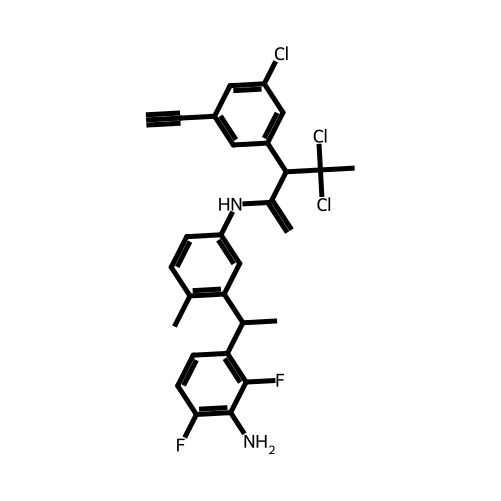 C#Cc1cc(Cl)cc(C(C(=C)Nc2ccc(C)c(C(C)c3ccc(F)c(N)c3F)c2)C(C)(Cl)Cl)c1